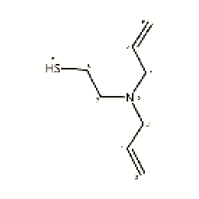 C=CCN(CC=C)CCS